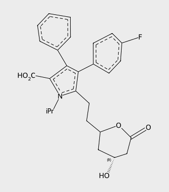 CC(C)n1c(CCC2C[C@@H](O)CC(=O)O2)c(-c2ccc(F)cc2)c(-c2ccccc2)c1C(=O)O